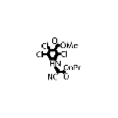 CCCOC(=O)C(C#N)=CNc1cc(Cl)c(Cl)c(C(=O)OC)c1Cl